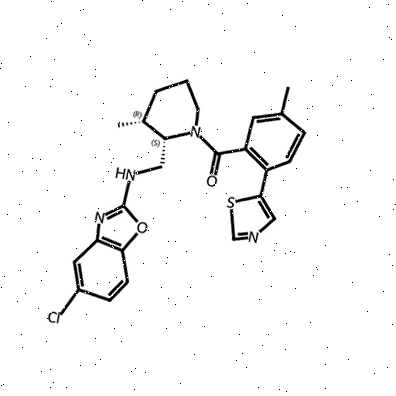 Cc1ccc(-c2cncs2)c(C(=O)N2CCC[C@@H](C)[C@H]2CNc2nc3cc(Cl)ccc3o2)c1